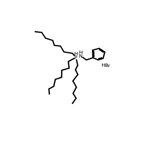 Br.CCCCCCCC[PH](CCCCCCCC)(CCCCCCCC)NCc1ccccc1